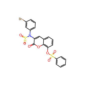 O=c1oc2c(OS(=O)(=O)c3ccccc3)cccc2cc1N(c1cccc(Br)c1)[SH](=O)=O